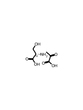 CC(=O)C(=O)O.N[C@@H](CO)C(=O)O